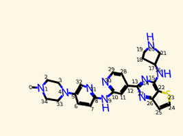 CN1CCN(c2ccc(Nc3cc(-c4nc(NC5CCNC5)c5sccc5n4)ccn3)nc2)CC1